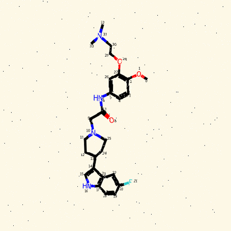 COc1ccc(NC(=O)CN2CCC(c3c[nH]c4ccc(F)cc34)CC2)cc1OCCN(C)C